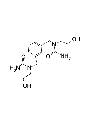 NC(=O)N(CCO)Cc1cccc(CN(CCO)C(N)=O)c1